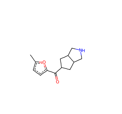 Cc1ccc(C(=O)C2CC3CNCC3C2)o1